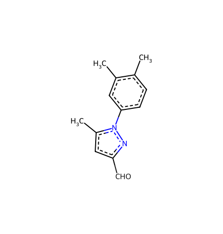 Cc1ccc(-n2nc(C=O)cc2C)cc1C